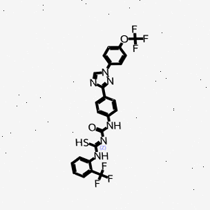 O=C(/N=C(\S)Nc1ccccc1C(F)(F)F)Nc1ccc(-c2ncn(-c3ccc(OC(F)(F)F)cc3)n2)cc1